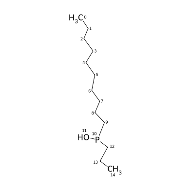 CCCCCCCCCCP(O)CCC